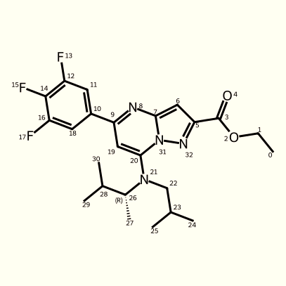 CCOC(=O)c1cc2nc(-c3cc(F)c(F)c(F)c3)cc(N(CC(C)C)[C@H](C)C(C)C)n2n1